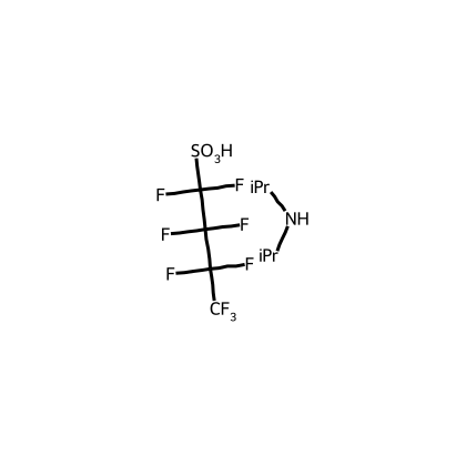 CC(C)NC(C)C.O=S(=O)(O)C(F)(F)C(F)(F)C(F)(F)C(F)(F)F